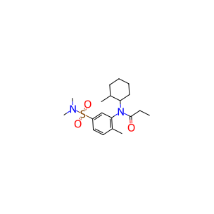 CCC(=O)N(c1cc(S(=O)(=O)N(C)C)ccc1C)C1CCCCC1C